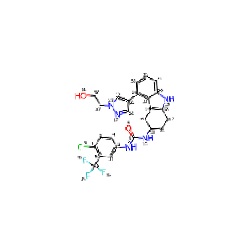 O=C(Nc1ccc(Cl)c(C(F)(F)F)c1)NC1CCc2[nH]c3cccc(-c4cnn(CCO)c4)c3c2C1